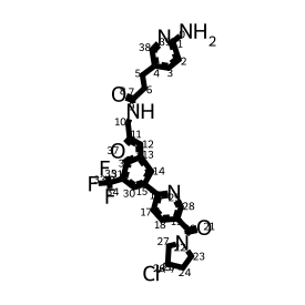 Nc1ccc(CCC(=O)NCc2cc3cc(-c4ccc(C(=O)N5CC[C@H](Cl)C5)cn4)cc(C(F)(F)F)c3o2)cn1